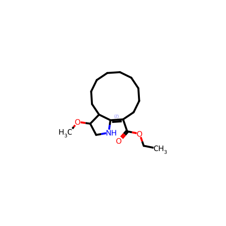 CCOC(=O)/C1=C2\NCC(OC)C2CCCCCCCCC1